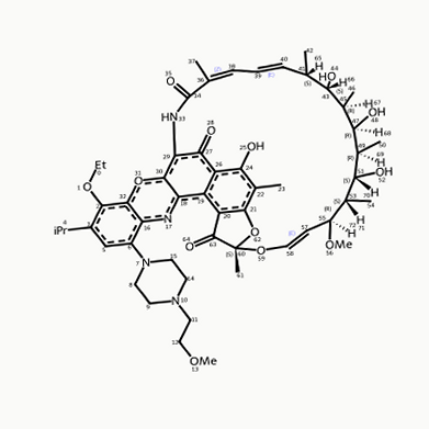 CCOc1c(C(C)C)cc(N2CCN(CCOC)CC2)c2nc3c4c5c6c(C)c(O)c4c(=O)c(c-3oc12)NC(=O)/C(C)=C\C=C\[C@H](C)[C@H](O)[C@@H](C)[C@@H](O)[C@@H](C)[C@H](O)[C@H](C)[C@@H](OC)/C=C/O[C@@](C)(O6)C5=O